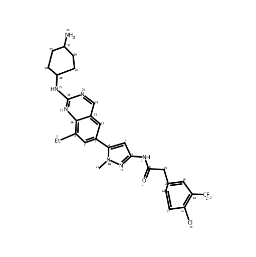 CCc1cc(-c2cc(NC(=O)Cc3ccc(Cl)c(C(F)(F)F)c3)nn2C)cc2cnc(NC3CCC(N)CC3)nc12